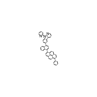 c1ccc(-c2ccc3ccc4c(-c5ccc(-c6ccc7c(c6)c6cccnc6n7-c6ccccn6)c6ccccc56)ccc5ccc2c3c54)cc1